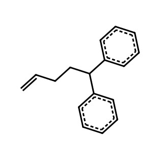 C=CCCC(c1ccccc1)c1ccccc1